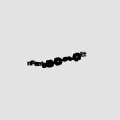 CCCCCOc1ccc([C@H]2CC[C@H](C#CC=C[C@H]3CC[C@H](CC)CC3)CC2)cc1